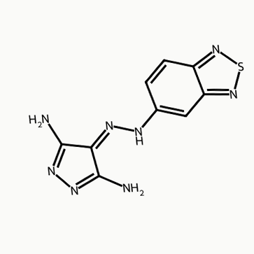 NC1=NN=C(N)C1=NNc1ccc2nsnc2c1